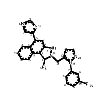 CCC1c2c(cc(-c3cncs3)c3ccccc23)NN1Cc1ccnn1-c1cccc(F)c1